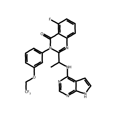 CC(Nc1ncnc2[nH]ccc12)c1nc2cccc(F)c2c(=O)n1-c1cccc(OCC(F)(F)F)c1